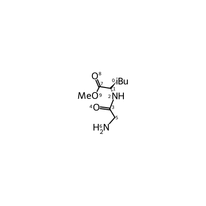 CC[C@H](C)[C@H](NC(=O)CN)C(=O)OC